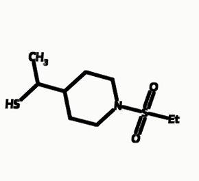 CCS(=O)(=O)N1CCC(C(C)S)CC1